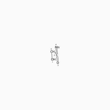 CO.O=[C]=[Mn]